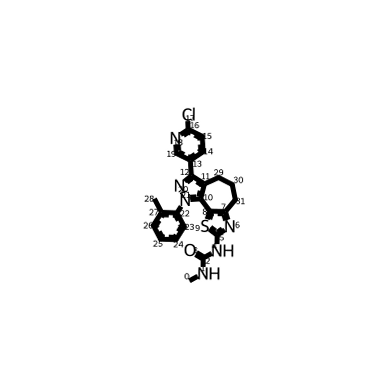 CNC(=O)Nc1nc2c(s1)-c1c(c(-c3ccc(Cl)nc3)nn1-c1ccccc1C)CCC2